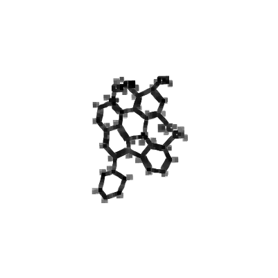 Cc1cc(C)c2c(c1C)c1c3c(cc[n+]1C)cc(C1CCCCC1)c1c4cccc(C)c4n2c13